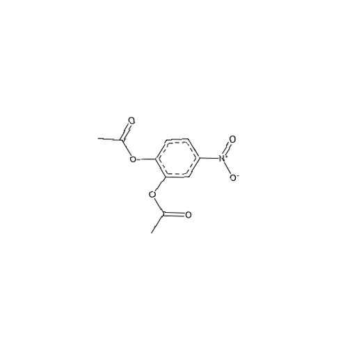 CC(=O)Oc1ccc([N+](=O)[O-])cc1OC(C)=O